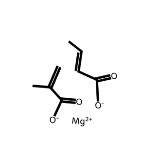 C=C(C)C(=O)[O-].CC=CC(=O)[O-].[Mg+2]